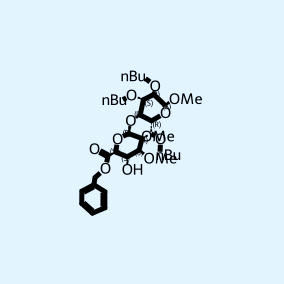 CCCCOC[C@H]1O[C@H](OC)[C@H](OCCCC)[C@@H](OCCCC)[C@@H]1O[C@@H]1O[C@H](C(=O)OCc2ccccc2)[C@@H](O)[C@H](OC)[C@H]1OC